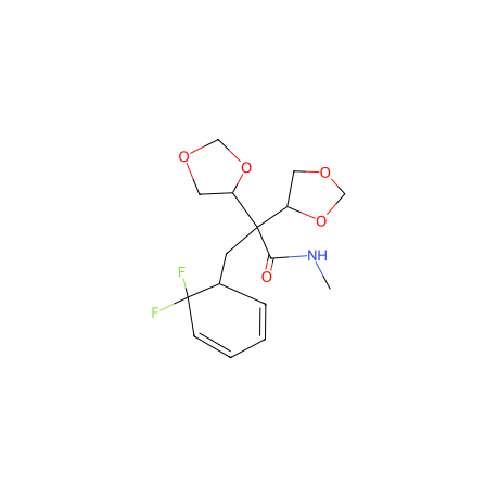 CNC(=O)C(CC1C=CC=CC1(F)F)(C1COCO1)C1COCO1